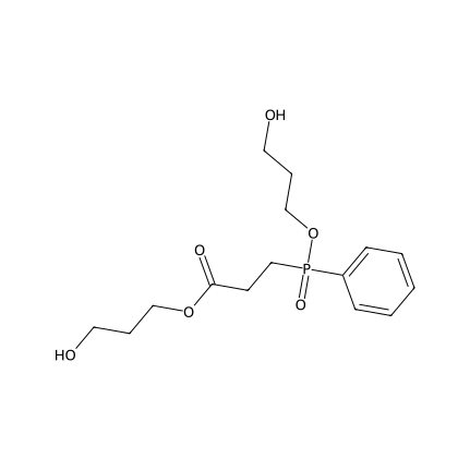 O=C(CCP(=O)(OCCCO)c1ccccc1)OCCCO